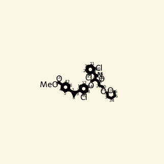 COC(=O)c1ccc(C2CC2c2ccc(OCC3C(c4c(Cl)cccc4Cl)=NOC3CCOC3CCCCO3)cc2Cl)cc1